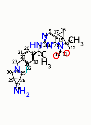 C[C@H](Nc1nccc(N2C(=O)OC[C@]2(C)C2CC2)n1)c1ccc(CN2CC3C(N)C3C2)c(F)c1